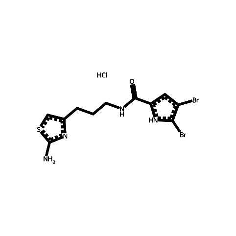 Cl.Nc1nc(CCCNC(=O)c2cc(Br)c(Br)[nH]2)cs1